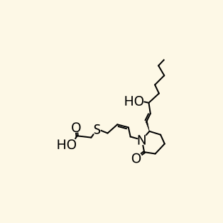 CCCCCC(O)/C=C/[C@H]1CCCC(=O)N1C/C=C\CSCC(=O)O